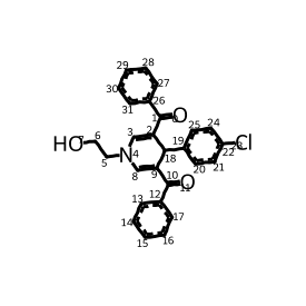 O=C(C1=CN(CCO)C=C(C(=O)c2ccccc2)C1c1ccc(Cl)cc1)c1ccccc1